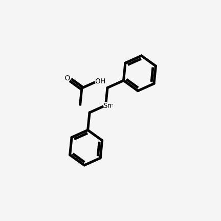 CC(=O)O.c1ccc([CH2][Sn][CH2]c2ccccc2)cc1